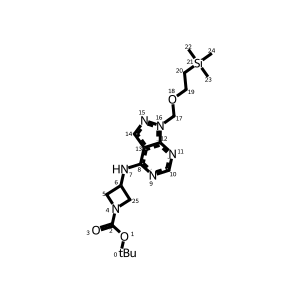 CC(C)(C)OC(=O)N1CC(Nc2ncnc3c2cnn3COCC[Si](C)(C)C)C1